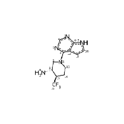 N[C@@H]1CN(c2ncnc3[nH]ccc23)CC[C@H]1C(F)(F)F